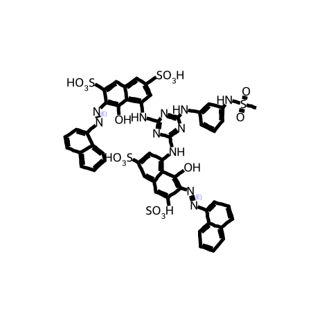 CS(=O)(=O)Nc1cccc(Nc2nc(Nc3cc(S(=O)(=O)O)cc4cc(S(=O)(=O)O)c(/N=N/c5cccc6ccccc56)c(O)c34)nc(Nc3cc(S(=O)(=O)O)cc4cc(S(=O)(=O)O)c(/N=N/c5cccc6ccccc56)c(O)c34)n2)c1